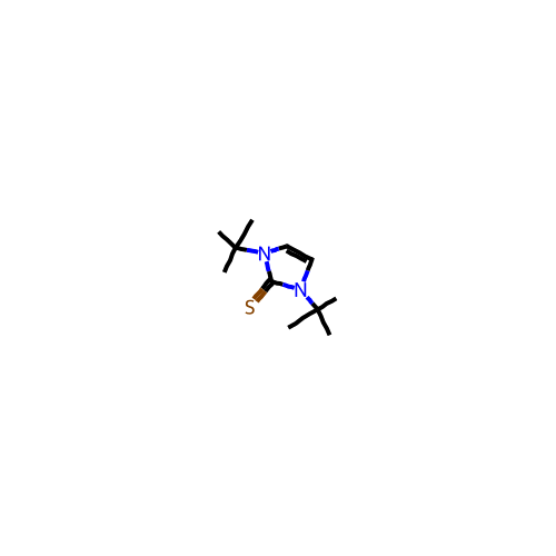 CC(C)(C)n1ccn(C(C)(C)C)c1=S